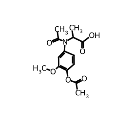 COc1cc(N(C(C)=O)C(C)C(=O)O)ccc1OC(C)=O